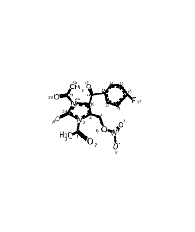 CC(=O)n1c(CO[N+](=O)[O-])c(C(=O)c2ccc(F)cc2)n(C(C)=O)c1=O